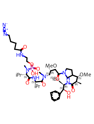 CC[C@H](C)[C@@H]([C@@H](CC(=O)N1CCC([C@H](OC)[C@@H](C)C(=O)N[C@H](C)[C@@H](O)c2ccccc2)C1)OC)N(C)C(=O)[C@@H](NC(=O)[C@H](C(C)C)N(C)P(=O)(O)OCCNC(=O)CCCCN=[N+]=[N-])C(C)C